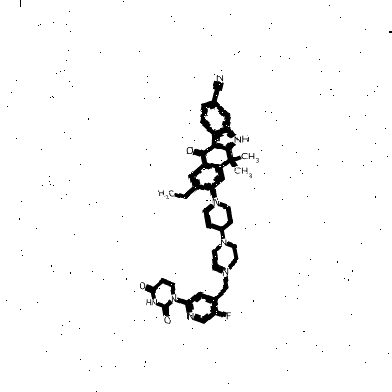 CCc1cc2c(cc1N1CCC(N3CCN(Cc4cc(N5CCC(=O)NC5=O)ncc4F)CC3)CC1)C(C)(C)c1[nH]c3cc(C#N)ccc3c1C2=O